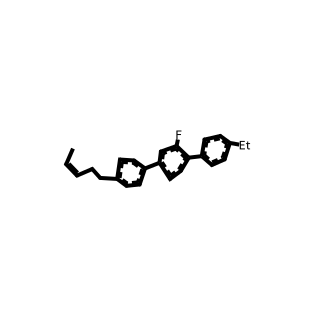 C/C=C\CCc1ccc(-c2ccc(-c3ccc(CC)cc3)c(F)c2)cc1